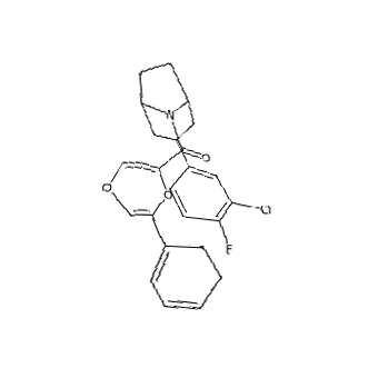 O=C(C1=COC=C(C2=CC=CCC2)O1)N1C2CCC1CC(c1ccc(F)c(Cl)c1)C2